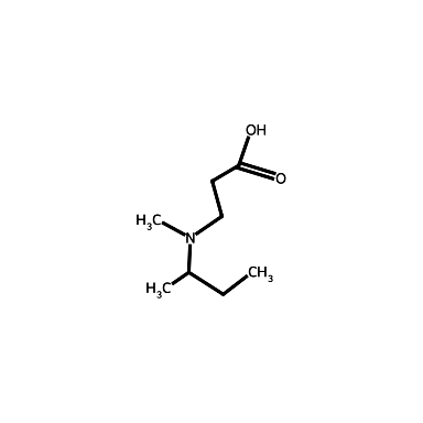 CCC(C)N(C)CCC(=O)O